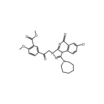 COC(=O)c1cc(C(=O)Cn2nc(N3CCCCCC3)n3c4ccc(Cl)cc4c(=O)nc23)ccc1OC